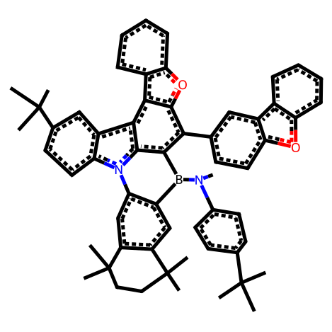 CN(B1c2cc3c(cc2-n2c4ccc(C(C)(C)C)cc4c4c5c(oc6ccccc65)c(-c5ccc6oc7ccccc7c6c5)c1c42)C(C)(C)CCC3(C)C)c1ccc(C(C)(C)C)cc1